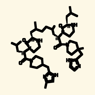 Cc1c[nH]c(CC2CCN(C(=O)[C@H](CC(C)C)N3CCN[C@@H](CC(C)CCC(C)C[C@@H](C(=O)N4CCC(C)(Cc5ncc[nH]5)CC4)N4CCN[C@@H](CC(C)C)C4=O)C3=O)CC2)n1